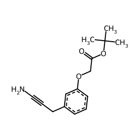 CC(C)(C)OC(=O)COc1cccc(CC#CN)c1